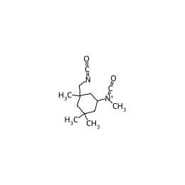 C[N+](=C=O)C1CC(C)(C)CC(C)(CN=C=O)C1